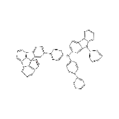 C1=CCCC(c2ccc(N(c3ccc(-c4ccc5c(c4)C46C7=C(CCC=C7)c7cccc(c74)-c4cccc-5c46)cc3)c3ccc4c5ccccc5n(-c5ccccc5)c4c3)cc2)=C1